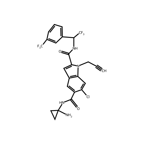 C#CCn1c(C(=O)NC(c2cccc(C(F)(F)F)c2)C(F)(F)F)cc2cc(C(=O)NC3(N)CC3)c(Cl)cc21